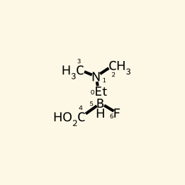 CCN(C)C.O=C(O)BF